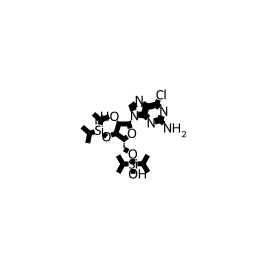 CC(C)[SiH](OC1[C@@H](CO[Si](O)(C(C)C)C(C)C)O[C@@H](n2cnc3c(Cl)nc(N)nc32)[C@H]1O)C(C)C